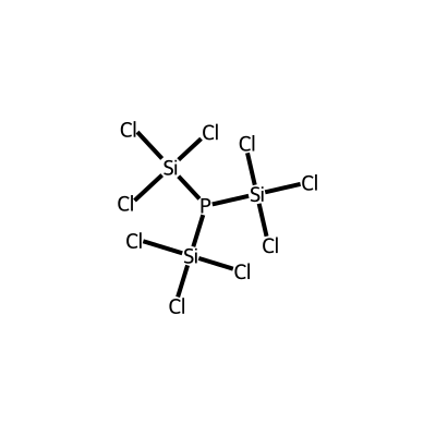 Cl[Si](Cl)(Cl)P([Si](Cl)(Cl)Cl)[Si](Cl)(Cl)Cl